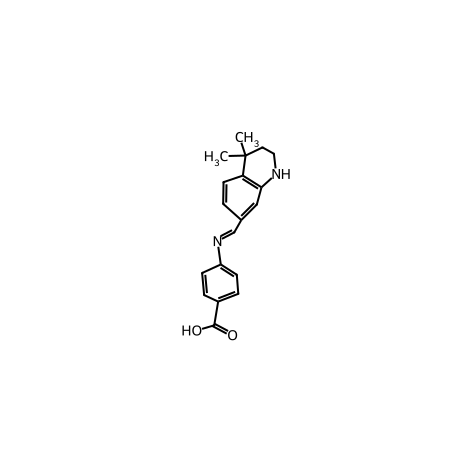 CC1(C)CCNc2cc(C=Nc3ccc(C(=O)O)cc3)ccc21